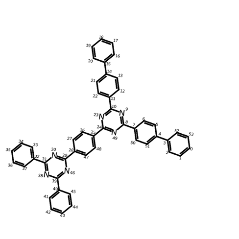 c1ccc(-c2ccc(-c3nc(-c4ccc(-c5ccccc5)cc4)nc(-c4ccc(-c5nc(-c6ccccc6)nc(-c6ccccc6)n5)cc4)n3)cc2)cc1